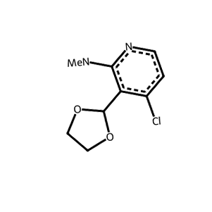 CNc1nccc(Cl)c1C1OCCO1